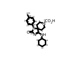 O=C(O)N1CCC2(CC1)C(NC1CCCCC1)=NC(=O)N2c1ccc(I)cc1